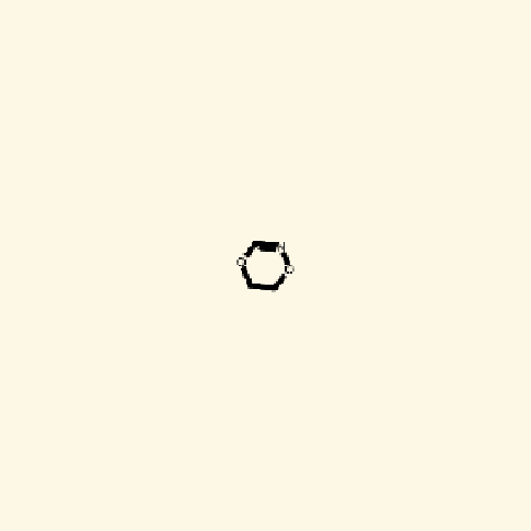 [C]1=NOCCO1